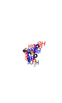 Nc1nc(/C(=N/OC2(C(=O)O)CCC2)C(=O)N[C@@H]2C(=O)N(S(=O)(=O)O)[C@@H]2CNC(=O)c2cccc(C(=O)NCc3cc(=O)c(O)cn3O)c2)cs1